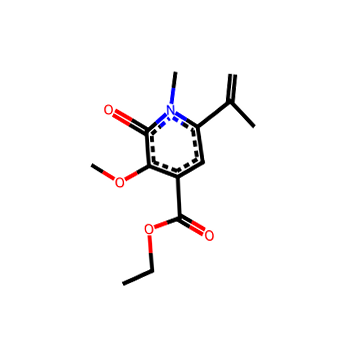 C=C(C)c1cc(C(=O)OCC)c(OC)c(=O)n1C